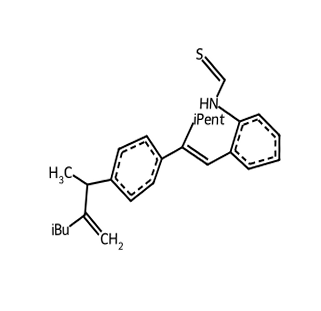 C=C(C(C)CC)C(C)c1ccc(/C(=C/c2ccccc2NC=S)C(C)CCC)cc1